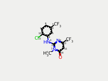 Cn1c(Nc2cc(C(F)(F)F)ccc2Cl)nc(C(F)(F)F)cc1=O